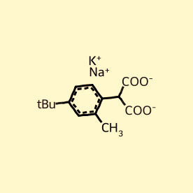 Cc1cc(C(C)(C)C)ccc1C(C(=O)[O-])C(=O)[O-].[K+].[Na+]